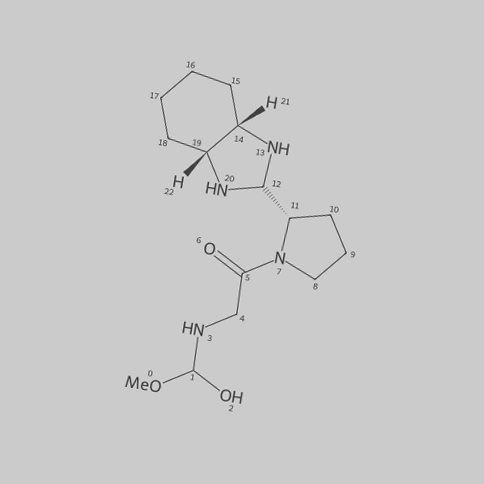 COC(O)NCC(=O)N1CCC[C@H]1C1N[C@H]2CCCC[C@H]2N1